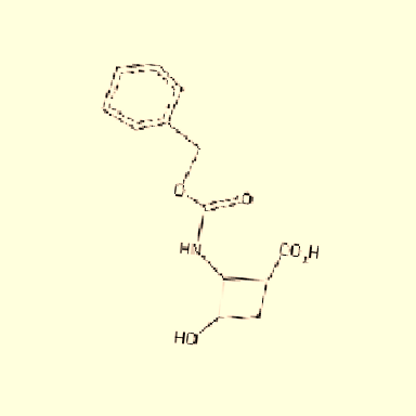 O=C(NC1C(O)CC1C(=O)O)OCc1ccccc1